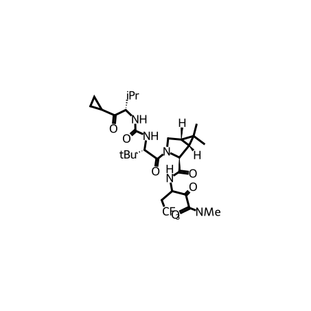 CNC(=O)C(=O)C(CC(F)(F)F)NC(=O)[C@@H]1[C@@H]2[C@H](CN1C(=O)[C@@H](NC(=O)N[C@H](C(=O)C1CC1)C(C)C)C(C)(C)C)C2(C)C